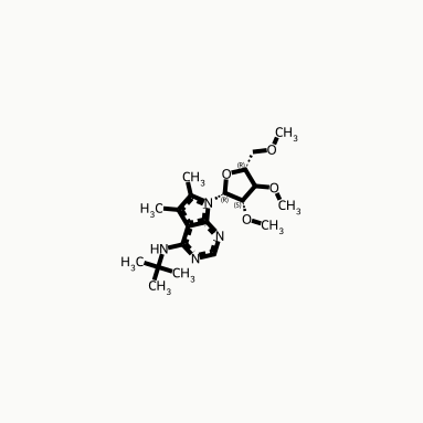 COC[C@H]1O[C@@H](n2c(C)c(C)c3c(NC(C)(C)C)ncnc32)[C@@H](OC)C1OC